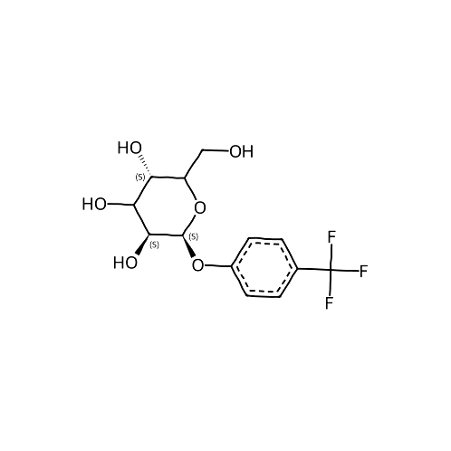 OCC1O[C@@H](Oc2ccc(C(F)(F)F)cc2)[C@@H](O)C(O)[C@@H]1O